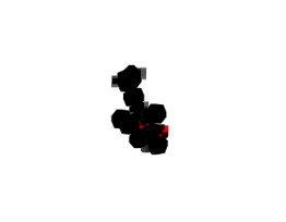 c1ccc2c(c1)Oc1ccccc1C21c2ccccc2-c2c(-c3ccccc3-c3nc(-c4ccc(C56C[C@@H]7CC8C[C@H](C5)C8(C7)C6)cc4)nc(-c4cccc5ccccc45)n3)cccc21